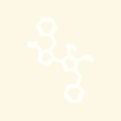 Cc1c(-c2ccc(C)n2Cc2ccccc2)cn(Cc2ccccc2)c1C